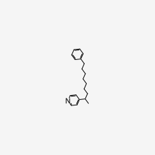 CC(CCCCCCCc1ccccc1)c1ccncc1